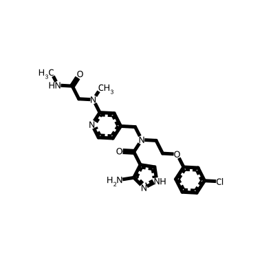 CNC(=O)CN(C)c1cc(CN(CCOc2cccc(Cl)c2)C(=O)c2c[nH]nc2N)ccn1